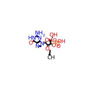 C#CCO[C@@H]1[C@H](OP(=O)(O)O)[C@@H](CO)O[C@H]1n1cnc2c(=O)[nH]c(N)nc21